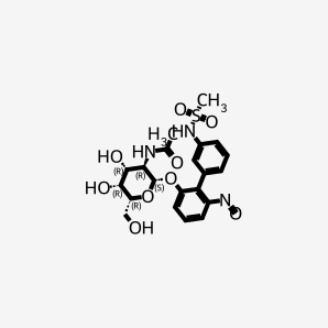 CC(=O)N[C@H]1[C@H](Oc2cccc(N=O)c2-c2cccc(NS(C)(=O)=O)c2)O[C@H](CO)[C@H](O)[C@@H]1O